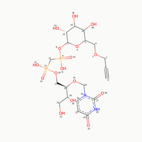 C#CCOCC1OC(OP(=O)(O)CP(=O)(O)OC[C@@H](OCn2ccc(=O)[nH]c2=O)C(O)CO)[C@H](O)C(O)C1O